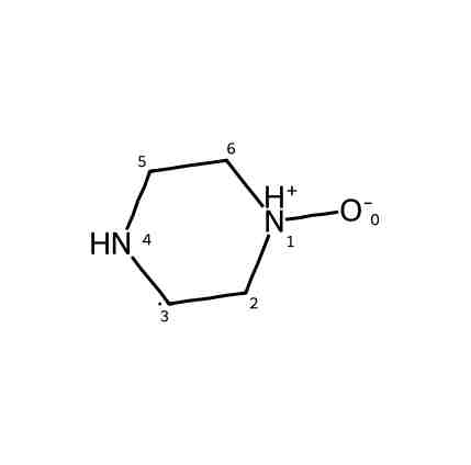 [O-][NH+]1C[CH]NCC1